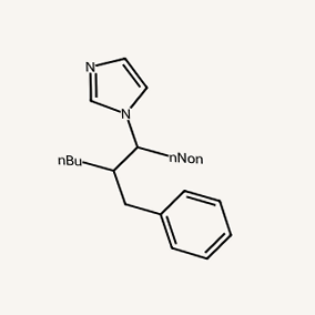 CCCCCCCCCC(C(CCCC)Cc1ccccc1)n1ccnc1